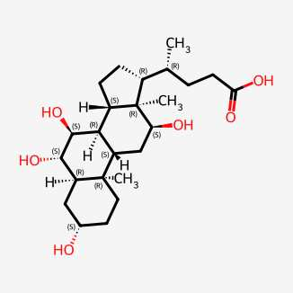 C[C@H](CCC(=O)O)[C@H]1CC[C@H]2[C@@H]3[C@H](O)[C@@H](O)[C@@H]4C[C@@H](O)CC[C@]4(C)[C@H]3C[C@H](O)[C@]12C